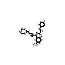 Fc1ccc(/C=C/c2nc(NCCCN3CCOCC3)c3cc(Cl)ccc3n2)cc1